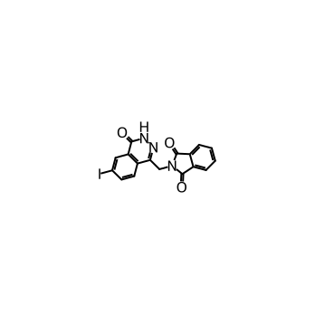 O=C1c2ccccc2C(=O)N1Cc1n[nH]c(=O)c2cc(I)ccc12